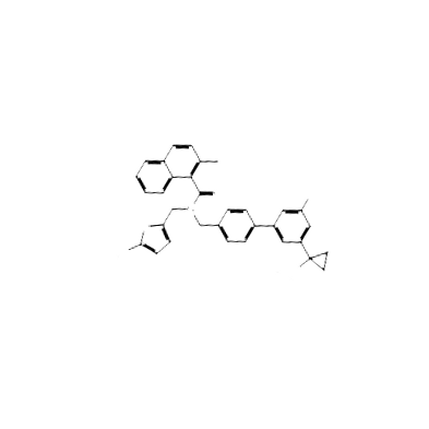 Cc1ccc2ccccc2c1C(=O)N(Cc1ccc(-c2cc(F)cc(C3(C(=O)O)CC3)c2)cc1)Cc1ccc(C(F)(F)F)o1